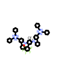 Fc1c(F)c(F)c(-c2cc(-n3c4ccccc4c4cc(-c5nc(-c6ccccc6)nc(-c6ccccc6)n5)ccc43)c(C(F)(F)F)cc2-n2c3ccccc3c3cc(-c4nc(-c5ccccc5)nc(-c5ccccc5)n4)ccc32)c(F)c1F